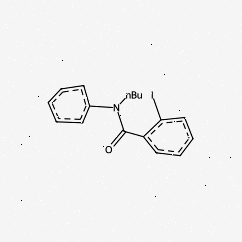 CCCCN(C(=O)c1ccccc1I)c1ccccc1